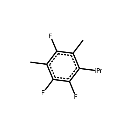 Cc1c(F)c(C)c(C(C)C)c(F)c1F